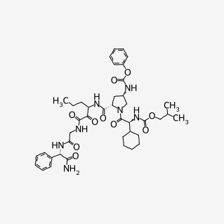 CCCC(NC(=O)[C@@H]1C[C@@H](NC(=O)Oc2ccccc2)CN1C(=O)[C@@H](NC(=O)OCC(C)C)C1CCCCC1)C(=O)C(=O)NCC(=O)N[C@H](C(N)=O)c1ccccc1